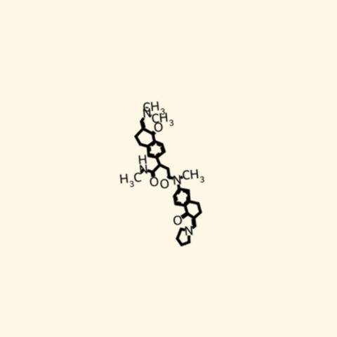 CNC(=O)C(CC(=O)N(C)c1ccc2c(c1)CCC(=CN1CCCC1)C2=O)c1ccc2c(c1)CCC(=CN(C)C)C2=O